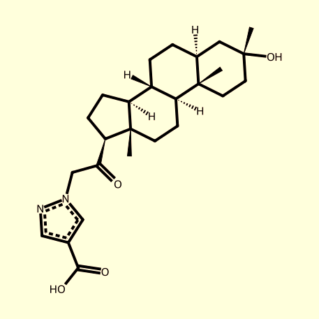 C[C@@]1(O)CC[C@@]2(C)[C@@H](CC[C@@H]3[C@@H]2CC[C@]2(C)[C@@H](C(=O)Cn4cc(C(=O)O)cn4)CC[C@@H]32)C1